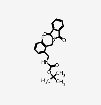 CC(C)(C)OC(=O)NCc1cccc(F)c1CN1C(=O)c2ccccc2C1=O